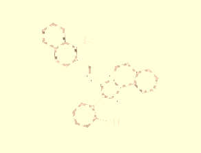 Cc1ccccc1-c1nc2c3ccccc3ccn2c1/N=C/c1ccc2ccccc2c1Br